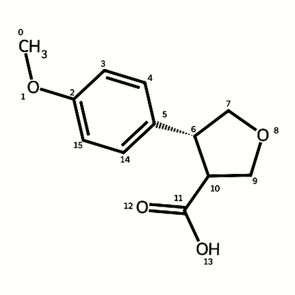 COc1ccc([C@@H]2COCC2C(=O)O)cc1